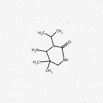 CC(C)N1C(=O)NCC(C)(C)C1N